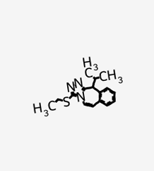 CCSc1nnc2n1C=Cc1ccccc1C2C(C)C